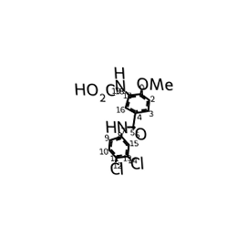 COc1ccc(C(=O)Nc2ccc(Cl)c(Cl)c2)cc1NC(=O)O